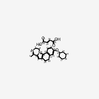 CC1=NCCn2c1cc1c2-c2ccc(OC3CCCCC3)cc2CC1.O=C(O)C=CC(=O)O